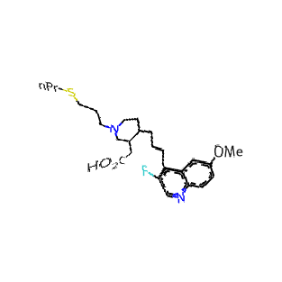 CCCSCCCN1CCC(CCCc2c(F)cnc3ccc(OC)cc23)C(CC(=O)O)C1